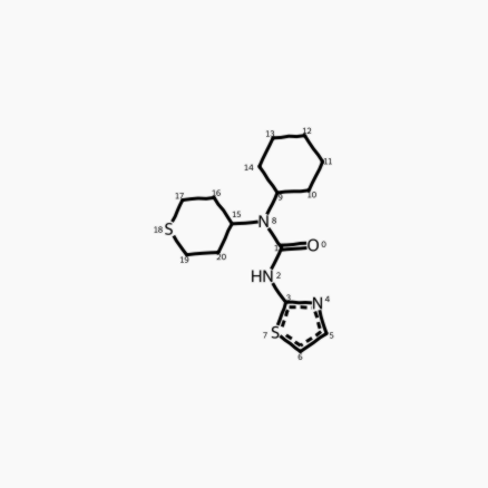 O=C(Nc1nccs1)N(C1CCCCC1)C1CCSCC1